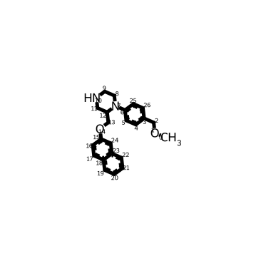 COCc1ccc(N2CCNCC2COc2ccc3ccccc3c2)cc1